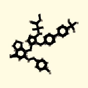 COC(=O)C(C)(C)Nc1nnc(Cn2c(SCc3ccc(F)cc3)nc(=O)c3c2CCC3)n1Cc1ccc(-c2ccc(C(F)(F)F)cc2)cc1